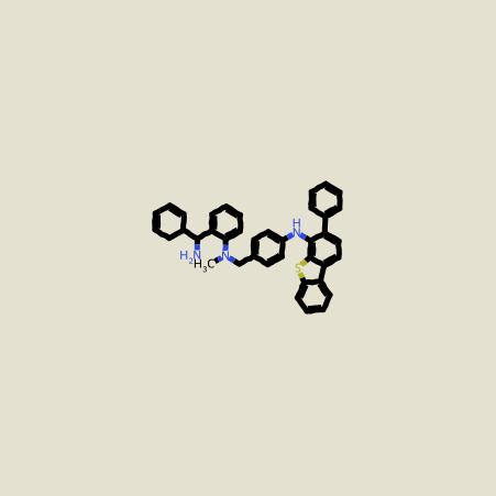 CN(Cc1ccc(Nc2c(-c3ccccc3)ccc3c2sc2ccccc23)cc1)c1ccccc1C(N)C1C=CC=CC1